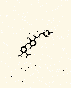 COc1ccc(Oc2c(Cl)ccc(C(=O)NCc3cnc(C)cn3)c2Cl)cc1C(C)C